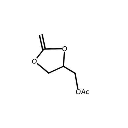 C=C1OCC(COC(C)=O)O1